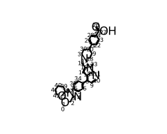 COCc1nc2cc(-c3ccnc4c3cc(CN3CCC(c5ccc(C(=O)O)cc5)CC3)n4C)ccc2n1C1CCCCO1